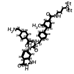 CCN(CC)CCCNC(=O)c1ccc(-c2ccc(C[C@H](NC(=O)C3CCC(CN)CC3)C(=O)Nc3ccc4c(=O)[nH][nH]c4c3)cc2)c(C)c1